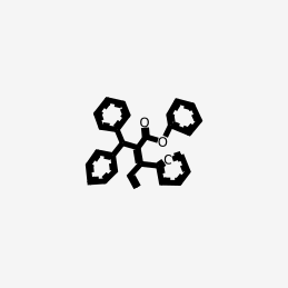 C=CC(=C(C(=O)Oc1ccccc1)C(c1ccccc1)c1ccccc1)c1ccccc1